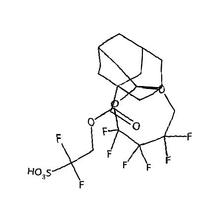 O=C(OCC(F)(F)S(=O)(=O)O)C12CC3CC(C1)C1(OCC(F)(F)C(F)(F)C(F)(F)O1)C(C3)C2